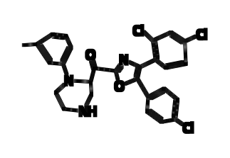 Cc1cccc(N2CCNCC2C(=O)c2nc(-c3ccc(Cl)cc3Cl)c(-c3ccc(Cl)cc3)o2)c1